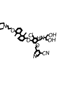 Cc1c(COc2cc(OCc3cncc(C#N)c3)c(CNC(CO)CO)cc2Cl)cccc1-c1cccc(OCCCN2CCCCC2)c1C